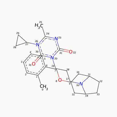 Cc1ccccc1COC1CC2CCC(C1)N2CCCn1c(=O)nc(C)n(C2CC2)c1=O